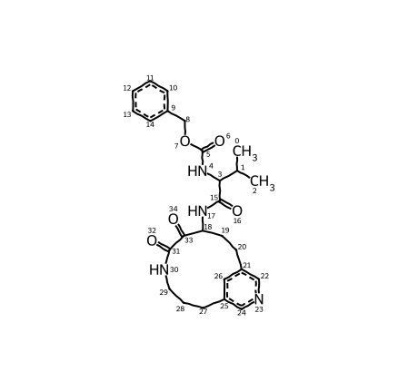 CC(C)C(NC(=O)OCc1ccccc1)C(=O)NC1CCc2cncc(c2)CCCNC(=O)C1=O